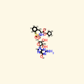 COc1nc(N)nc2c1ncn2[C@@H]1O[C@H](CO[P@@]2(=O)N[C@H](C(=O)OC3CCCC3)Cc3ccccc3S2)[C@@H](O)[C@@]1(C)O